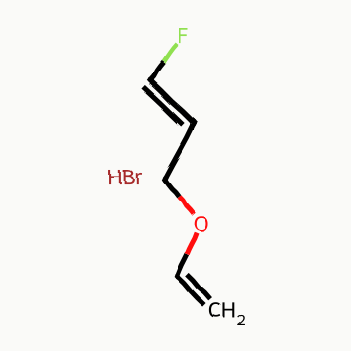 Br.C=COCC=CF